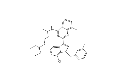 CCN(CC)CCCC(C)Nc1nc(C2=CC(Cc3cccc(C)c3)c3c(Cl)cccc32)nc2c(C)cccc12